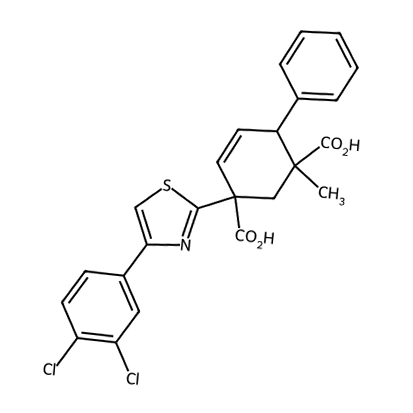 CC1(C(=O)O)CC(C(=O)O)(c2nc(-c3ccc(Cl)c(Cl)c3)cs2)C=CC1c1ccccc1